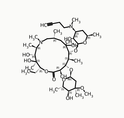 C#CCCN(C)[C@H]1C[C@@H](C)OC(O[C@@H]2[C@@H](C)[C@H](O[C@H]3C[C@@](C)(OC)[C@@H](O)[C@H](C)O3)[C@@H](C)C(=O)O[C@H](CC)[C@@](C)(O)[C@H](O)[C@@H](C)N(C)C[C@H](C)C[C@@]2(C)O)[C@@H]1O